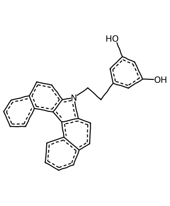 Oc1cc(O)cc(CCn2c3ccc4ccccc4c3c3c4ccccc4ccc32)c1